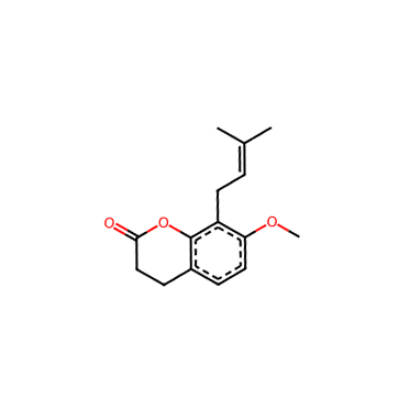 COc1ccc2c(c1CC=C(C)C)OC(=O)CC2